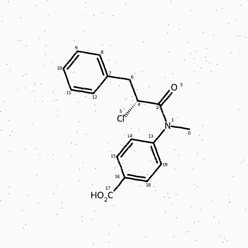 CN(C(=O)[C@H](Cl)Cc1ccccc1)c1ccc(C(=O)O)cc1